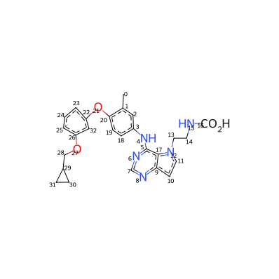 Cc1cc(Nc2ncnc3ccn(CCNC(=O)O)c23)ccc1Oc1cccc(OCC2CC2)c1